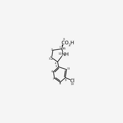 O=C(O)[C@@H]1CSC(c2cccc(Cl)c2)N1